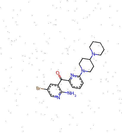 Nc1ncc(Br)cc1C(=O)c1cccc(N2CCC(N3CCCCC3)CC2)n1